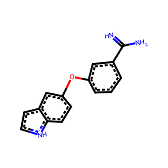 N=C(N)c1cccc(Oc2ccc3[nH]ccc3c2)c1